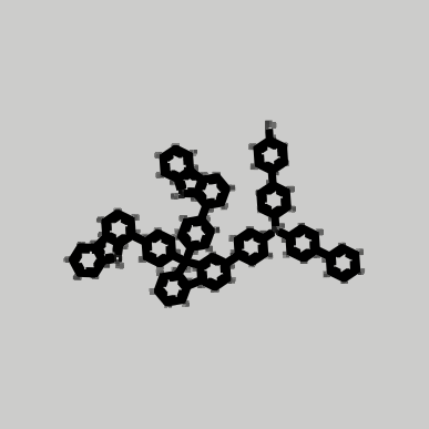 Fc1ccc(-c2ccc(N(c3ccc(-c4ccccc4)cc3)c3ccc(-c4ccc5c(c4)C(c4ccc(-c6cccc7c6oc6ccccc67)cc4)(c4ccc(-c6cccc7c6sc6ccccc67)cc4)c4ccccc4-5)cc3)cc2)cc1